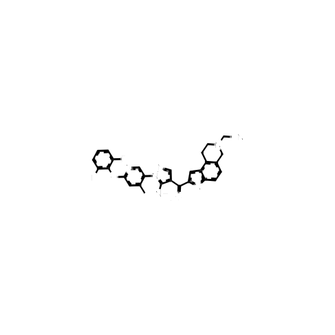 Cc1cc(Oc2c(F)cccc2F)ncc1-n1ncc(C(=O)c2cc3c4c(ccc3[nH]2)CN(CC#N)CC4)c1N